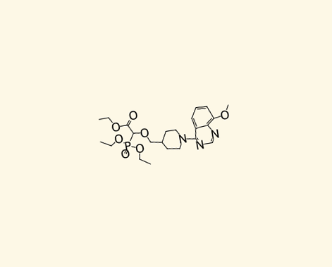 CCOC(=O)C(OCC1CCN(c2ncnc3c(OC)cccc23)CC1)P(=O)(OCC)OCC